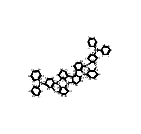 c1ccc(N(c2ccccc2)c2ccc3c(c2)Sc2cccc4c2B3c2cccc3c5c6c7cccc8c7n(c6ccc5n-4c23)-c2cccc3c2B8c2ccc(N(c4ccccc4)c4ccccc4)cc2S3)cc1